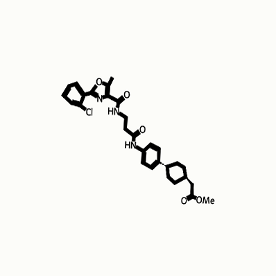 COC(=O)C[C@H]1CC[C@H](c2ccc(NC(=O)CCNC(=O)c3nc(-c4ccccc4Cl)oc3C)cc2)CC1